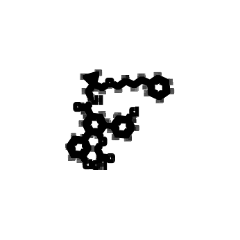 O=C(O)COc1c(-c2cccc(Cl)c2)cc(C(=O)NCC2(COCCCCc3ccccc3)CC2)cc1-c1cccc(Cl)c1